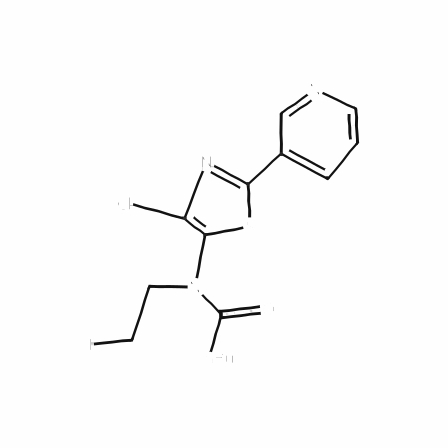 CCCCC(=O)N(CCI)c1sc(-c2cccnc2)nc1Cl